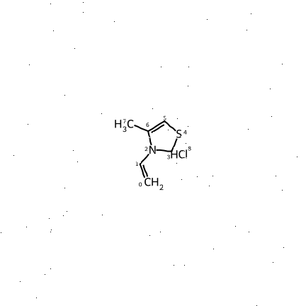 C=CN1CSC=C1C.Cl